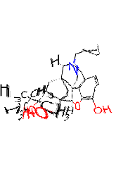 CC(C)(C)[C@@](C)(O)[C@H]1C[C@@]23CC[C@]1(CO)[C@@H]1Oc4c(O)ccc5c4[C@@]12CCN(CC1CC1)[C@@H]3C5